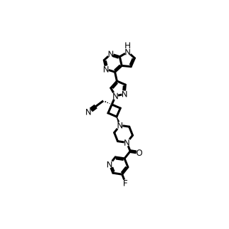 N#CC[C@]1(n2cc(-c3ncnc4[nH]ccc34)cn2)C[C@@H](N2CCN(C(=O)c3cncc(F)c3)CC2)C1